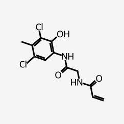 C=CC(=O)NCC(=O)Nc1cc(Cl)c(C)c(Cl)c1O